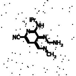 C=N/C=C1/C=C(C#N)N=C(NC(C)C)/C1=N/CN